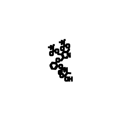 Cc1ncc(COc2ccccc2O/[P+]([O-])=N/C(C)C(=O)O)c(COC(=O)N(C)C)c1OC(=O)N(C)C